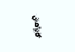 O=C1NCCCCC1NCc1ccc(Nc2nn(-c3cccc(C(F)(F)F)c3)c(=O)[nH]2)cc1